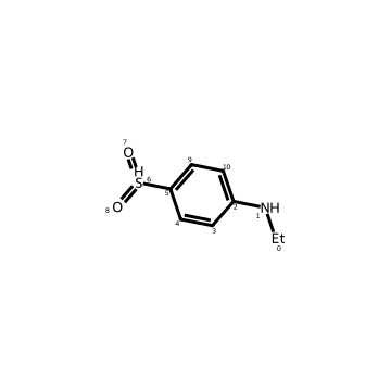 CCNc1ccc([SH](=O)=O)cc1